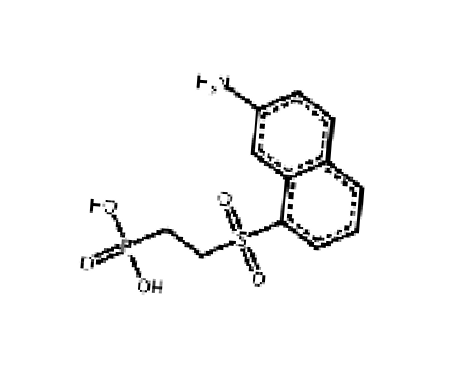 Nc1ccc2cccc(S(=O)(=O)CCP(=O)(O)O)c2c1